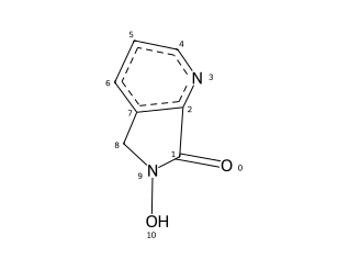 O=C1c2ncccc2CN1O